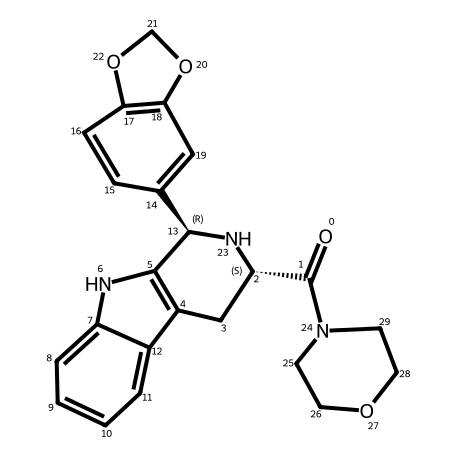 O=C([C@@H]1Cc2c([nH]c3ccccc23)[C@@H](c2ccc3c(c2)OCO3)N1)N1CCOCC1